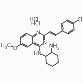 COc1ccc2nc(C=Cc3ccc(Cl)cc3)nc(NC3CCCCC3N)c2c1.Cl.Cl